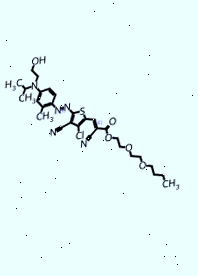 CCCCOCCOCCOC(=O)/C(C#N)=C/c1sc(/N=N/c2ccc(N(CCO)C(C)C)cc2C)c(C#N)c1Cl